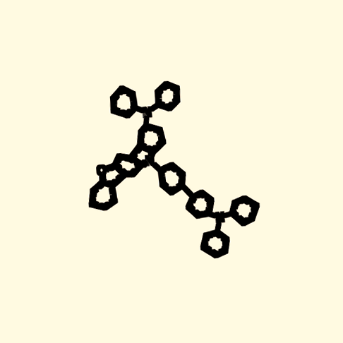 c1ccc(N(c2ccccc2)c2ccc(-c3ccc(-n4c5ccc(N(c6ccccc6)c6ccccc6)cc5c5cc6oc7ccccc7c6cc54)cc3)cc2)cc1